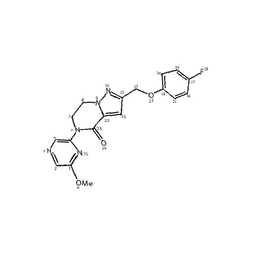 COc1cncc(N2CCn3nc(COc4ccc(F)cc4)cc3C2=O)n1